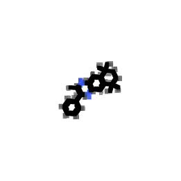 Cc1nc2cc3c(cc2nc1-c1ccccc1)C(C)(C)CCC3(C)C